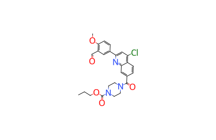 CCCOC(=O)N1CCN(C(=O)c2ccc3c(Cl)cc(-c4ccc(OC)c(C=O)c4)nc3c2)CC1